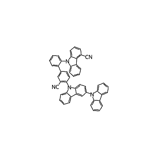 N#Cc1cc(-c2ccccc2-n2c3ccccc3c3c(C#N)cccc32)ccc1-n1c2ccccc2c2cc(-n3c4ccccc4c4ccccc43)ccc21